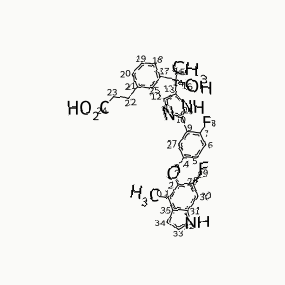 Cc1c(Oc2ccc(F)c(-c3ncc(C(C)(O)c4cccc(CCC(=O)O)c4)[nH]3)c2)c(F)cc2[nH]ccc12